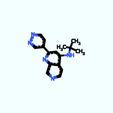 CC(C)(C)Nc1cc(-c2ccnnc2)nc2cnccc12